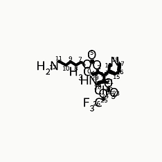 CC1=C(OC(=O)OCCCCCN)C(c2cccnc2)C(OC(=O)OCC(F)(F)F)=C(C)N1